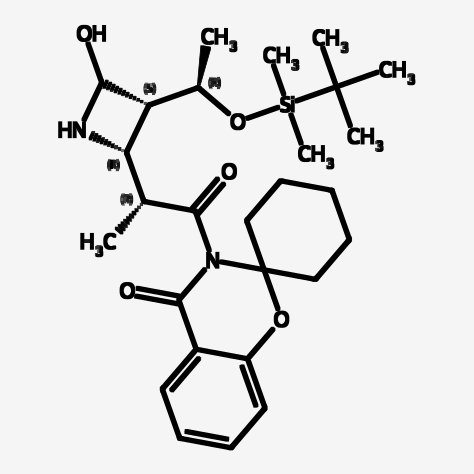 C[C@@H](O[Si](C)(C)C(C)(C)C)[C@H]1C(O)N[C@H]1[C@@H](C)C(=O)N1C(=O)c2ccccc2OC12CCCCC2